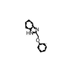 [c]1ccccc1OCc1nc2ccccc2[nH]1